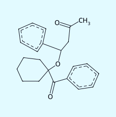 CC(=O)CC(OC1(C(=O)c2ccccc2)CCCCC1)c1ccccc1